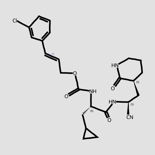 N#C[C@H](C[C@@H]1CCCNC1=O)NC(=O)[C@H](CC1CC1)NC(=O)OC/C=C/c1cccc(Cl)c1